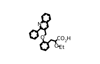 CCOC(Cc1ccccc1OCc1cc2ccccc2nc1-c1ccccc1)C(=O)O